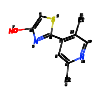 CCc1cc(-c2nc(O)cs2)c(CC)cn1